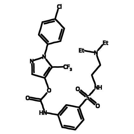 CCN(CC)CCNS(=O)(=O)c1cccc(NC(=O)Oc2cnn(-c3ccc(Cl)cc3)c2C(F)(F)F)c1